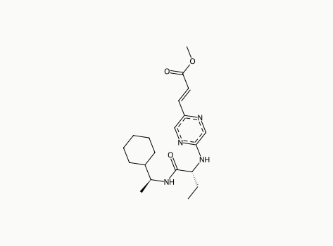 CC[C@@H](Nc1cnc(/C=C/C(=O)OC)cn1)C(=O)N[C@@H](C)C1CCCCC1